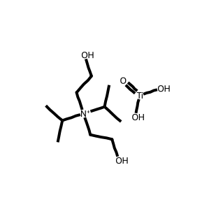 CC(C)[N+](CCO)(CCO)C(C)C.[O]=[Ti]([OH])[OH]